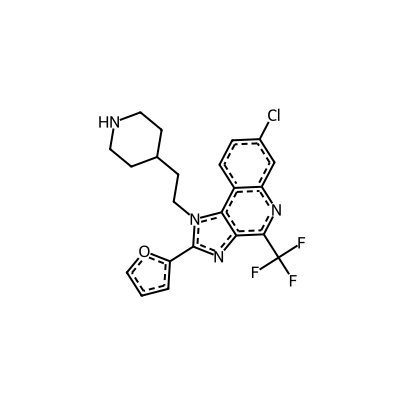 FC(F)(F)c1nc2cc(Cl)ccc2c2c1nc(-c1ccco1)n2CCC1CCNCC1